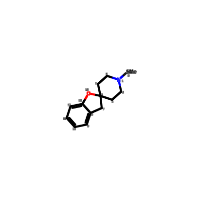 CSN1CCC2(CC1)Cc1ccccc1O2